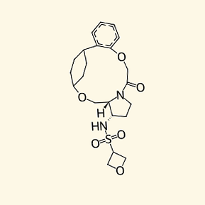 O=C1COc2ccccc2C2CCC(CC2)OC[C@H]2[C@@H](NS(=O)(=O)C3COC3)CCN12